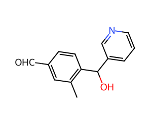 Cc1cc(C=O)ccc1C(O)c1cccnc1